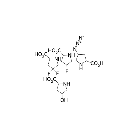 O=C(O)C1CC(F)(F)CN1.O=C(O)C1CC(F)CN1.O=C(O)C1CC(O)CN1.[N-]=[N+]=NC1CNC(C(=O)O)C1